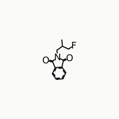 CC(CF)CN1C(=O)c2ccccc2C1=O